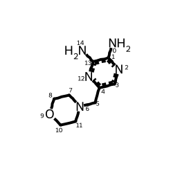 Nc1ncc(CN2CCOCC2)nc1N